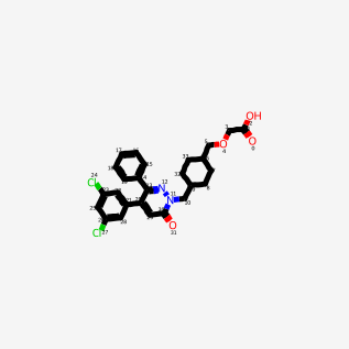 O=C(O)COCC1CCC(Cn2nc(-c3ccccc3)c(-c3cc(Cl)cc(Cl)c3)cc2=O)CC1